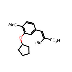 COc1ccc(C=C(C(=O)O)C(C)(C)C)cc1OC1CCCC1